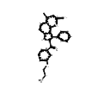 Cc1cc(=O)oc2c1ccc1oc(C(=O)c3cccc(OCCO)c3)c(-c3ccccc3)c12